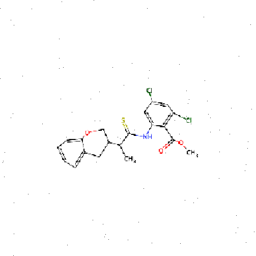 COC(=O)c1c(Cl)cc(Cl)cc1NC(=S)C(C)C1COc2ccccc2C1